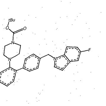 CC(C)(C)OC(=O)N1CCN(c2ccccc2-c2ccc(Cn3ccc4cc(F)ccc43)cc2)CC1